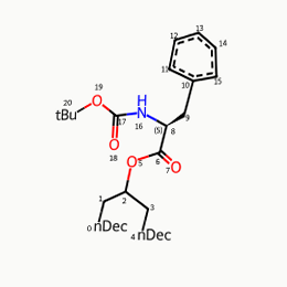 CCCCCCCCCCCC(CCCCCCCCCCC)OC(=O)[C@H](Cc1ccccc1)NC(=O)OC(C)(C)C